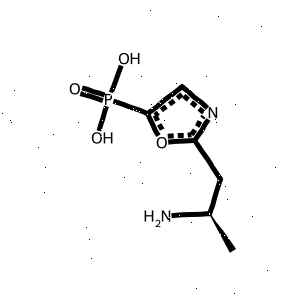 C[C@@H](N)Cc1ncc(P(=O)(O)O)o1